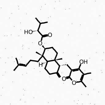 C=C1CC[C@H]2[C@](C)(CCC=C(C)C)[C@@H](OC(=O)[C@H](O)C(C)C)CC[C@]2(C)[C@@H]1Cc1c(O)c(C)c(C)oc1=O